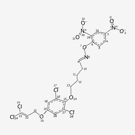 O=[N+]([O-])c1ccc(O/N=C/CCCCOc2c(Cl)cc(OCC=C(Cl)Cl)cc2Cl)c([N+](=O)[O-])c1